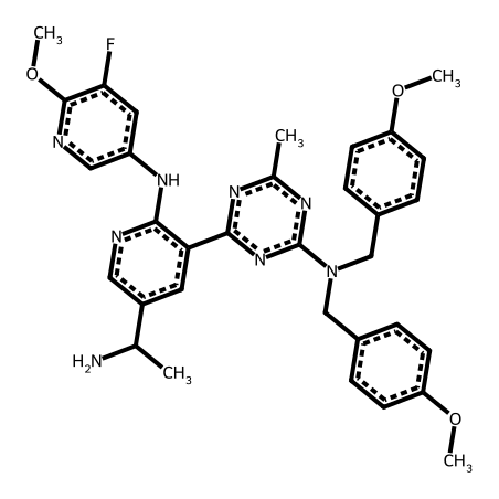 COc1ccc(CN(Cc2ccc(OC)cc2)c2nc(C)nc(-c3cc(C(C)N)cnc3Nc3cnc(OC)c(F)c3)n2)cc1